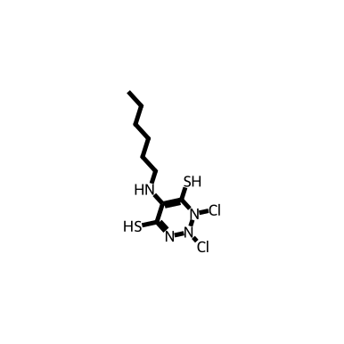 CCCCCCNC1=C(S)N(Cl)N(Cl)N=C1S